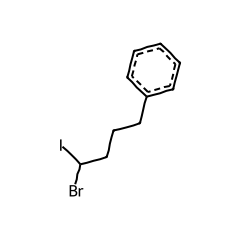 BrC(I)CCCc1ccccc1